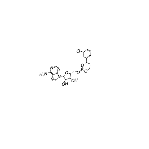 Nc1ncnc2c1ncn2[C@@H]1O[C@H](CO[P@]2OCC[C@H](c3cccc(Cl)c3)O2)[C@@H](O)[C@H]1O